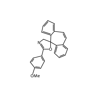 COc1ccc(C2=NCC3(O2)c2ccccc2C=Cc2ccccc23)cc1